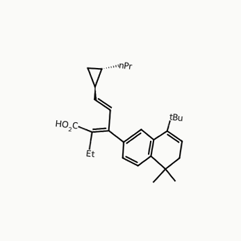 CCC[C@H]1C[C@@H]1/C=C/C(=C(/CC)C(=O)O)c1ccc2c(c1)C(C(C)(C)C)=CCC2(C)C